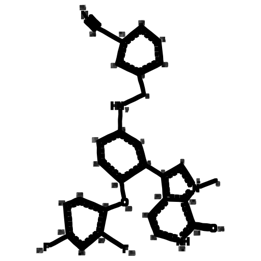 Cn1cc(-c2cc(NCc3cccc(C#N)c3)ccc2Oc2ccc(F)cc2F)c2cc[nH]c(=O)c21